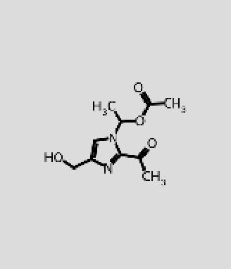 CC(=O)OC(C)n1cc(CO)nc1C(C)=O